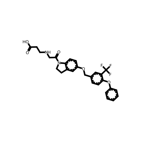 O=C(O)CCNCC(=O)N1CCc2cc(OCc3ccc(Oc4ccccc4)c(C(F)(F)F)c3)ccc21